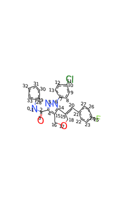 CN(C(=O)c1nn(-c2ccc(Cl)cc2)c2c1COCC2=Cc1ccc(F)cc1)c1ccccc1